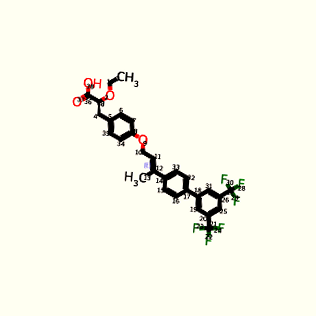 CCO[C@@H](Cc1ccc(OC/C=C(\C)c2ccc(-c3cc(C(F)(F)F)cc(C(F)(F)F)c3)cc2)cc1)C(=O)O